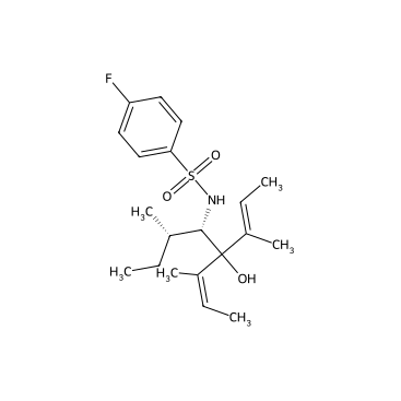 CC=C(C)C(O)(C(C)=CC)[C@@H](NS(=O)(=O)c1ccc(F)cc1)[C@@H](C)CC